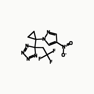 O=[N+]([O-])c1cnn(C2(C3(CC(F)(F)F)N=NN=N3)CC2)c1